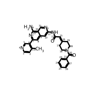 Cc1ccncc1-c1cc2cc(NC(=O)C=C3CCN(C(=O)c4ccccc4)CC3)ncc2c(N)n1